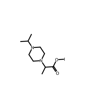 CC(C)N1CCN(C(C)C(=O)OI)CC1